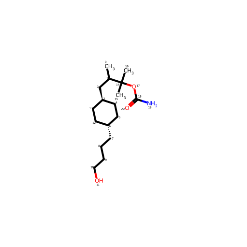 CC(C[C@H]1CC[C@H](CCCCO)CC1)C(C)(C)OC(N)=O